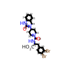 O=C(O)[C@@H](Cc1ccc(Br)c(Br)c1)NC(=O)N1CCC(N2Cc3ccccc3NC2=O)CC1